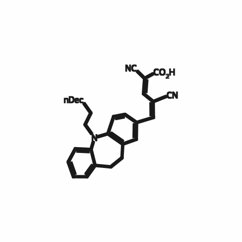 CCCCCCCCCCCCN1c2ccccc2CCc2cc(/C=C(C#N)\C=C(\C#N)C(=O)O)ccc21